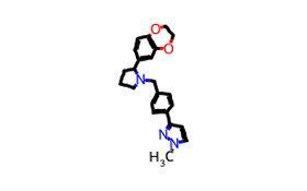 Cn1ccc(-c2ccc(CN3CCCC3c3ccc4c(c3)OCCO4)cc2)n1